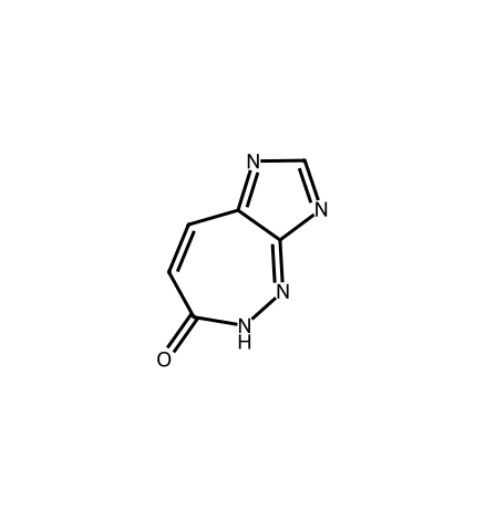 O=c1ccc2ncnc-2n[nH]1